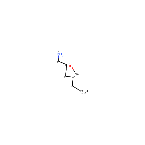 NCCCCCC(=O)O.O=NO